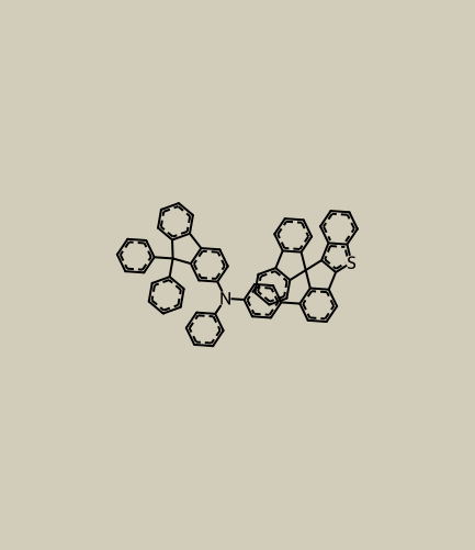 c1ccc(N(c2ccc(-c3cccc4c3C3(c5ccccc5-c5ccccc53)c3c-4sc4ccccc34)cc2)c2ccc3c(c2)C(c2ccccc2)(c2ccccc2)c2ccccc2-3)cc1